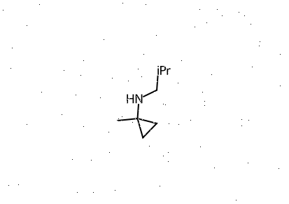 CC(C)CNC1(C)CC1